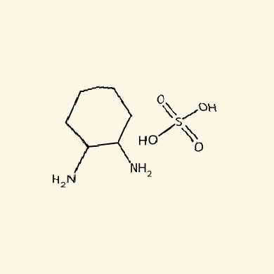 NC1CCCCC1N.O=S(=O)(O)O